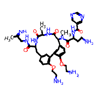 CC(=N)CNC(=O)C1Cc2ccc(OCCN)c(c2)-c2cc(ccc2OCCN)C(N(C)C(=O)C(CCN)NC(=O)c2cncnc2)C(=O)NC(C)C(=O)N1